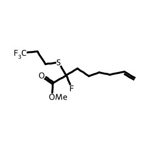 C=CCCCCC(F)(SCCC(F)(F)F)C(=O)OC